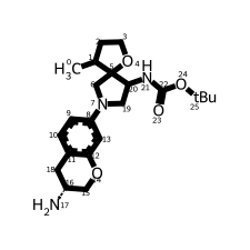 CC1CCOC12CN(c1ccc3c(c1)OC[C@H](N)C3)CC2NC(=O)OC(C)(C)C